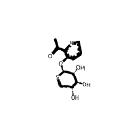 CC(=O)c1ncccc1O[C@@H]1SC[C@@H](O)[C@H](O)[C@H]1O